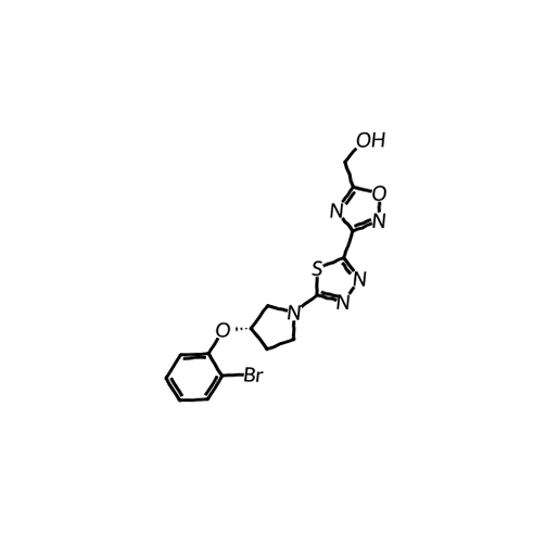 OCc1nc(-c2nnc(N3CC[C@H](Oc4ccccc4Br)C3)s2)no1